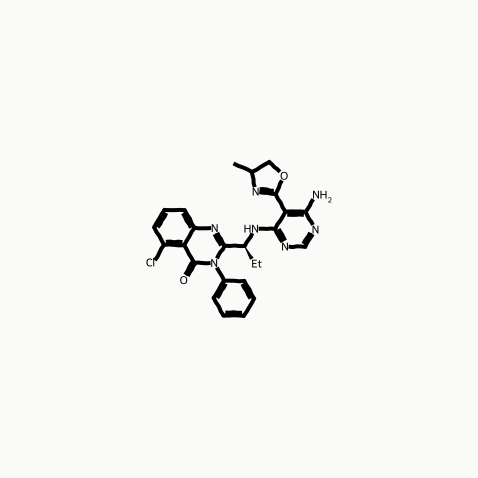 CC[C@H](Nc1ncnc(N)c1C1=NC(C)CO1)c1nc2cccc(Cl)c2c(=O)n1-c1ccccc1